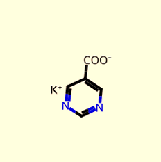 O=C([O-])c1cncnc1.[K+]